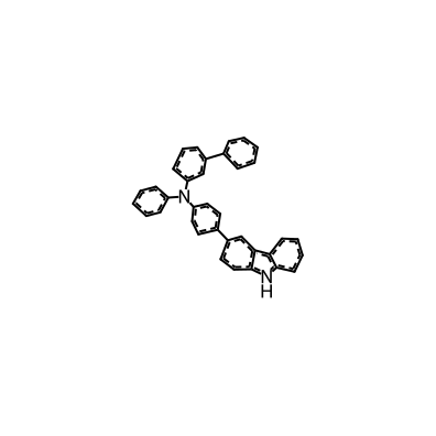 c1ccc(-c2cccc(N(c3ccccc3)c3ccc(-c4ccc5[nH]c6ccccc6c5c4)cc3)c2)cc1